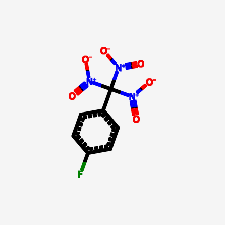 O=[N+]([O-])C(c1ccc(F)cc1)([N+](=O)[O-])[N+](=O)[O-]